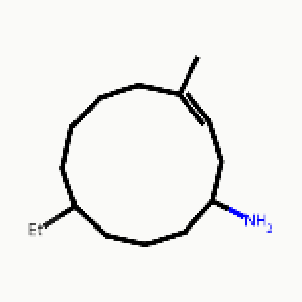 CCC1CCCC/C(C)=C\CC(N)CCC1